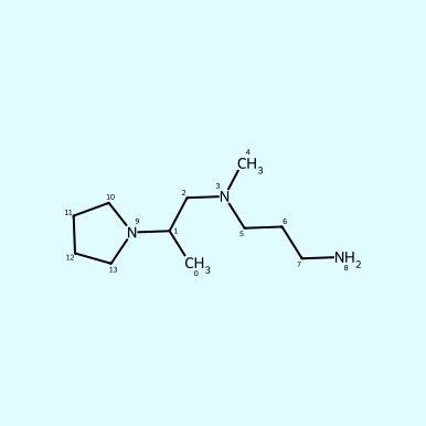 CC(CN(C)CCCN)N1CCCC1